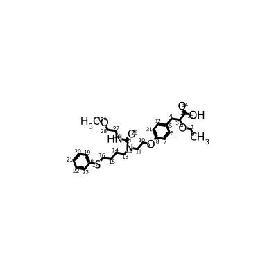 CCOC(Cc1ccc(OCCN(CCCCSc2ccccc2)C(=O)NCCOC)cc1)C(=O)O